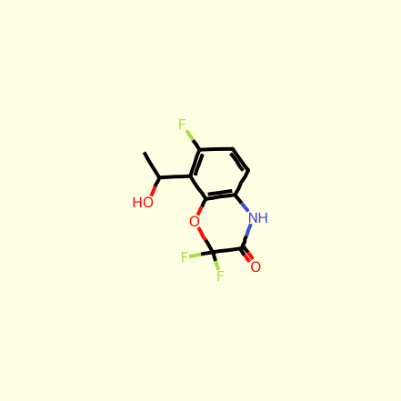 CC(O)c1c(F)ccc2c1OC(F)(F)C(=O)N2